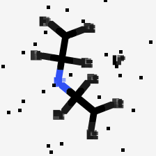 CCC(CC)C(CC)(CC)[N-]C(CC)(CC)C(CC)CC.[Li+]